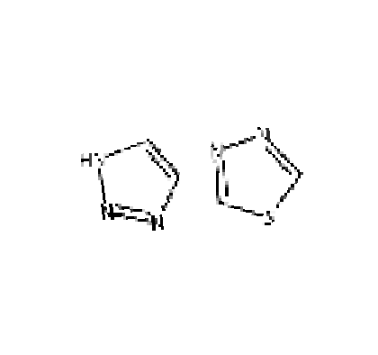 c1c[nH]nn1.c1nncs1